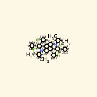 Cc1cc(C)cc(N(c2cc(-c3ccccc3F)cc(-c3ccccc3F)c2)c2ccc3ccc4c(N(c5cc(C)cc(C)c5)c5cc(-c6ccccc6F)cc(-c6ccccc6F)c5)ccc5ccc2c3c54)c1